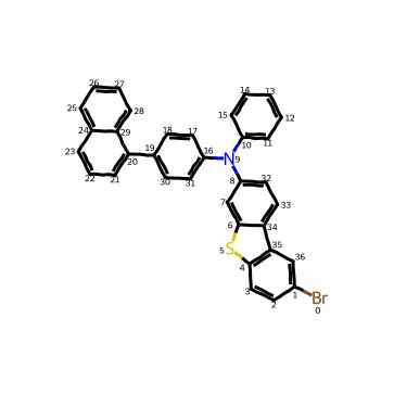 Brc1ccc2sc3cc(N(c4ccccc4)c4ccc(-c5cccc6ccccc56)cc4)ccc3c2c1